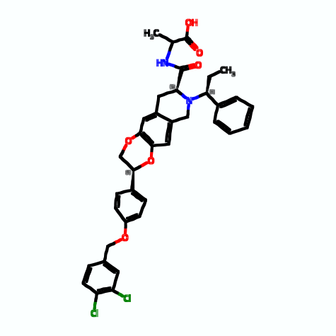 CC[C@@H](c1ccccc1)N1Cc2cc3c(cc2C[C@H]1C(=O)NC(C)C(=O)O)OC[C@H](c1ccc(OCc2ccc(Cl)c(Cl)c2)cc1)O3